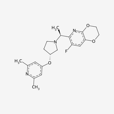 Cc1cc(O[C@@H]2CCN([C@@H](C)c3nc4c(cc3F)OCCO4)C2)cc(C)n1